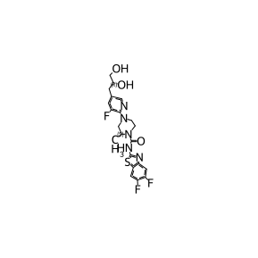 C[C@H]1CN(c2ncc(C[C@@H](O)CO)cc2F)CCN1C(=O)Nc1nc2cc(F)c(F)cc2s1